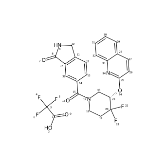 O=C(O)C(F)(F)F.O=C1NCc2ccc(C(=O)N3CCC(F)(F)[C@@H](Oc4ccc5ccccc5n4)C3)cc21